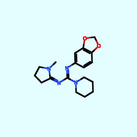 CN1CCC/C1=N/C(=N/c1ccc2c(c1)OCO2)N1CCCCC1